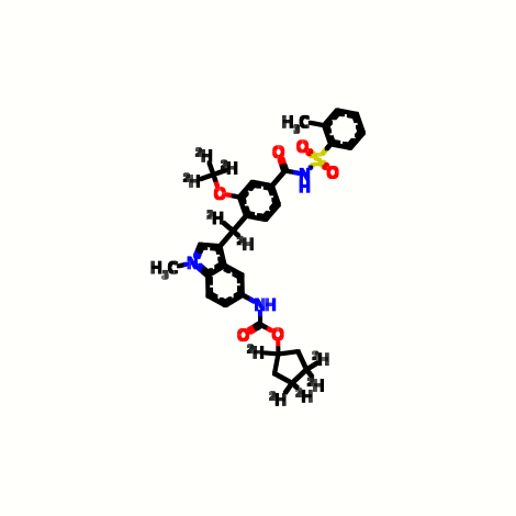 [2H]C([2H])([2H])Oc1cc(C(=O)NS(=O)(=O)c2ccccc2C)ccc1C([2H])([2H])c1cn(C)c2ccc(NC(=O)OC3([2H])CC([2H])([2H])C([2H])([2H])C3)cc12